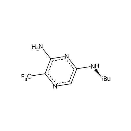 CC[C@H](C)Nc1cnc(C(F)(F)F)c(N)n1